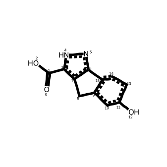 O=C(O)c1[nH]nc2c1Cc1cc(O)ccc1-2